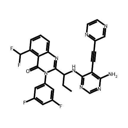 CCC(Nc1ncnc(N)c1C#Cc1cnccn1)c1nc2cccc(C(F)F)c2c(=O)n1-c1cc(F)cc(F)c1